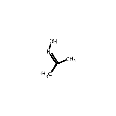 [CH2]C(C)=NO